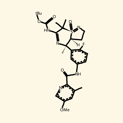 COc1cnc(C(=O)Nc2ccc(F)c([C@@]3(C)N=C(NC(=O)OC(C)(C)C)C(C)(C)[S@@]4(=O)=NCC[C@@H]34)c2)c(C)c1